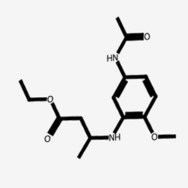 CCOC(=O)CC(C)Nc1cc(NC(C)=O)ccc1OC